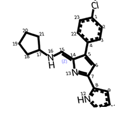 Clc1ccc(C2=CC(c3ccc[nH]3)=N/C2=C\NC2CCCC2)cc1